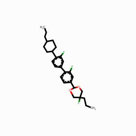 CCCC1CCC(c2ccc(-c3ccc(C4OCC(F)(CCC)CO4)cc3F)cc2F)CC1